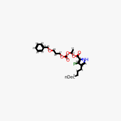 CCCCCCCCCCCCCc1c[nH]c(C(=O)OC(C)OC(=O)OCCCOCc2ccccc2)c1F